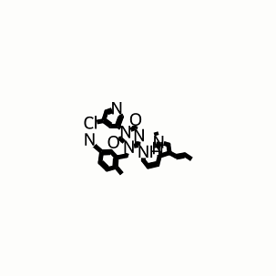 C/C=C/C1CN(C)N=C1/C=C\CNc1nc(=O)n(-c2cncc(Cl)c2)c(=O)n1Cc1cc(C#N)ccc1C